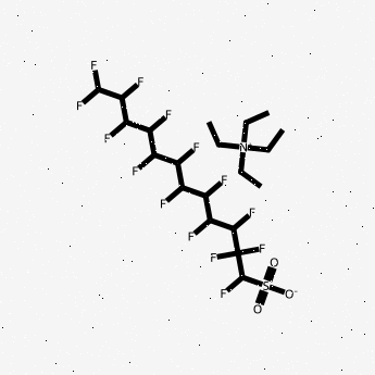 CC[N+](CC)(CC)CC.O=S(=O)([O-])C(F)C(F)(F)C(F)C(F)C(F)C(F)C(F)C(F)C(F)C(F)C(F)C(F)F